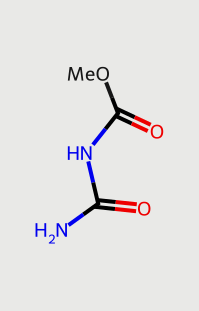 COC(=O)NC(N)=O